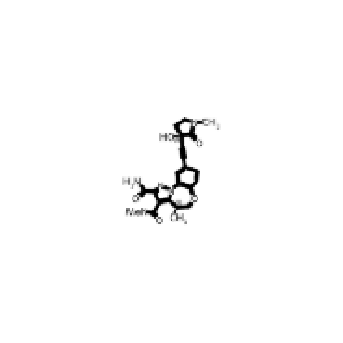 CNC(=O)c1c(C(N)=O)nn2c1[C@H](C)COc1ccc(C#C[C@]3(O)CCN(C)C3=O)cc1-2